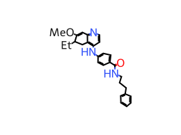 CCC1Cc2c(Nc3ccc(C(=O)NCCCc4ccccc4)cc3)ccnc2C=C1OC